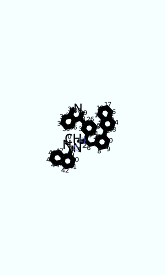 C=N/C(=N\C=C(/Cc1cccc(-c2ccc3ccccc3c2)c1)c1cccc(-c2cncc3ccccc23)c1)c1cccc2ccccc12